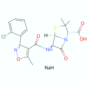 Cc1onc(-c2ccccc2Cl)c1C(=O)N[C@@H]1C(=O)N2[C@@H]1SC(C)(C)[C@@H]2C(=O)O.[NaH]